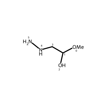 COC(O)CNN